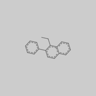 CCc1c(-c2ccccc2)ccc2ccccc12